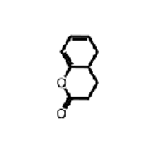 O=C1CCC2CC=CC=C2O1